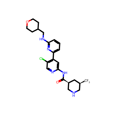 O=C(Nc1cc(-c2cccc(NCC3CCOCC3)n2)c(Cl)cn1)[C@@H]1CNC[C@H](C(F)(F)F)C1